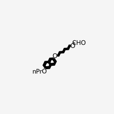 CCCOc1ccc2cc(OCCCCCCOC=O)ccc2c1